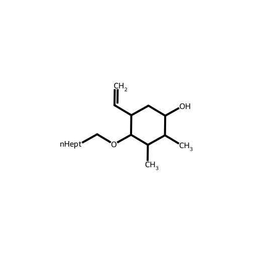 C=CC1CC(O)C(C)C(C)C1OCCCCCCCC